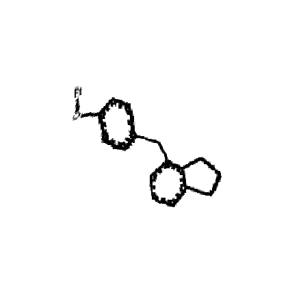 CCOc1ccc(Cc2cccc3c2CCC3)cc1